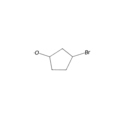 [O]C1CCC(Br)C1